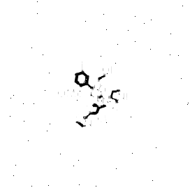 COc1ccc(F)cc1[C@H](Cn1c(=O)n([C@@H]2CCNC2=O)c(=O)c2c(C)c(-c3ncco3)sc21)OCCO